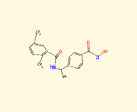 CC(C)C(NC(=O)c1cc(C(F)(F)F)ccc1C(F)(F)F)c1ccc(C(=O)NO)cc1